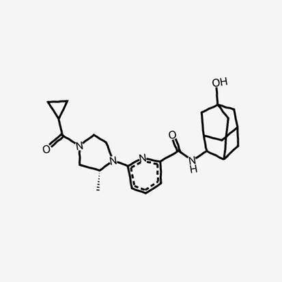 C[C@@H]1CN(C(=O)C2CC2)CCN1c1cccc(C(=O)NC2C3CC4CC2CC(O)(C4)C3)n1